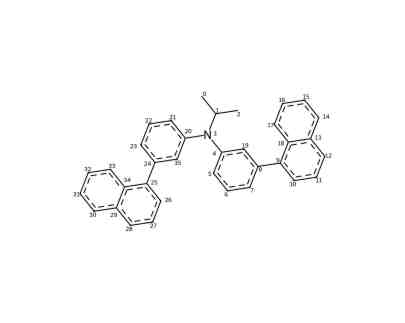 CC(C)N(c1cccc(-c2cccc3ccccc23)c1)c1cccc(-c2cccc3ccccc23)c1